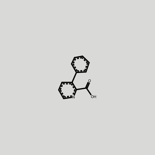 O=C(O)c1ncccc1-c1ccccc1